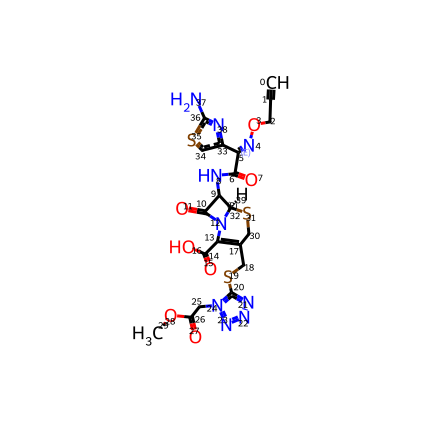 C#CCO/N=C(/C(=O)NC1C(=O)N2C(C(=O)O)=C(CSc3nnnn3CC(=O)OC)CS[C@H]12)c1csc(N)n1